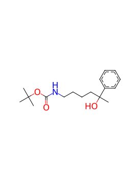 CC(C)(C)OC(=O)NCCCCC(C)(O)c1ccccc1